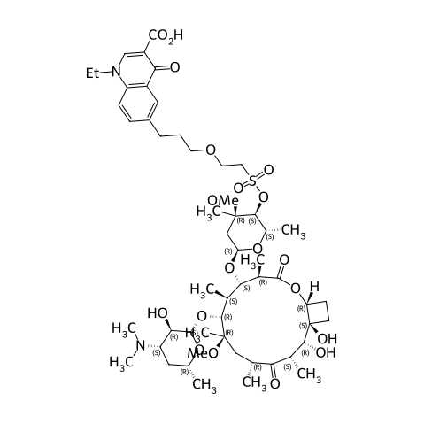 CCn1cc(C(=O)O)c(=O)c2cc(CCCOCCS(=O)(=O)O[C@H]3[C@H](C)O[C@@H](O[C@H]4[C@H](C)[C@@H](O[C@@H]5O[C@H](C)C[C@H](N(C)C)[C@H]5O)[C@](C)(OC)C[C@@H](C)C(=O)[C@@H](C)[C@@H](O)[C@@]5(O)CC[C@H]5OC(=O)[C@@H]4C)C[C@@]3(C)OC)ccc21